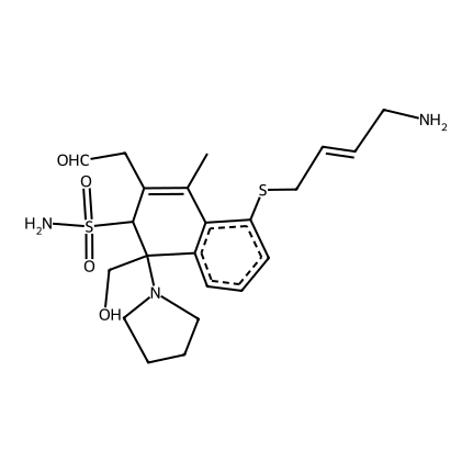 CC1=C(CC=O)C(S(N)(=O)=O)C(CO)(N2CCCC2)c2cccc(SCC=CCN)c21